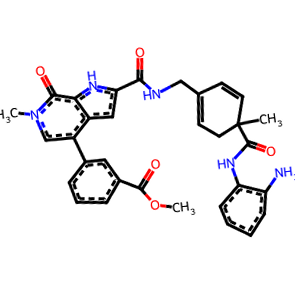 COC(=O)c1cccc(-c2cn(C)c(=O)c3[nH]c(C(=O)NCC4=CCC(C)(C(=O)Nc5ccccc5N)C=C4)cc23)c1